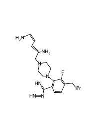 CC(C)Cc1ccc(C(=N)N=N)c(N2CCN(C/C(N)=C/C=C\N)CC2)c1F